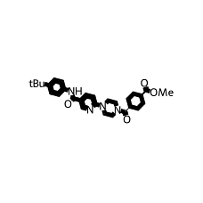 COC(=O)[C@H]1CC[C@H](C(=O)N2CCN(c3ccc(C(=O)Nc4ccc(C(C)(C)C)cc4)cn3)CC2)CC1